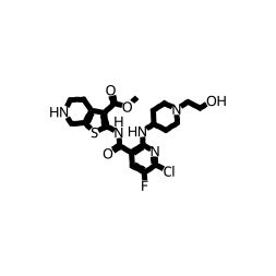 COC(=O)c1c(NC(=O)c2cc(F)c(Cl)nc2NC2CCN(CCO)CC2)sc2c1CCNC2